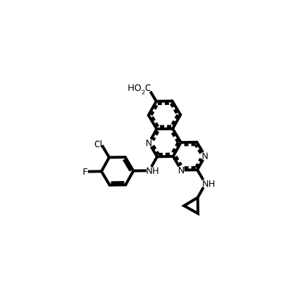 O=C(O)c1ccc2c(c1)nc(NC1=CC(Cl)C(F)C=C1)c1nc(NC3CC3)ncc12